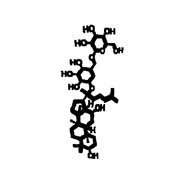 CC(C)=CCCC(C)(O[C@@H]1C[C@H](CO[C@@H]2O[C@H](CO)[C@@H](O)[C@H](O)[C@H]2O)[C@@H](O)[C@H](O)[C@H]1O)[C@H]1CC[C@]2(C)[C@@H]1[C@H](O)C[C@@H]1[C@@]3(C)CC[C@H](O)C(C)(C)C3CC[C@]12C